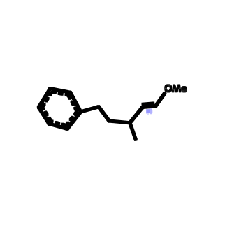 CO/C=C/C(C)CCc1ccccc1